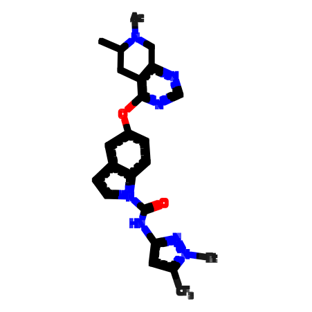 CCn1nc(NC(=O)n2ccc3cc(Oc4ncnc5c4CC(C)N(C(C)=O)C5)ccc32)cc1C(F)(F)F